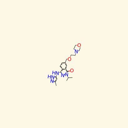 Cc1cc(Nc2nn(C(C)C)c(=O)c3cc(COCCN4CCOCC4)ccc23)[nH]n1